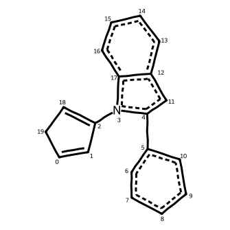 C1=CC(n2c(-c3ccccc3)cc3ccccc32)=CC1